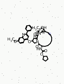 COc1ccc2c(O[C@@H]3C[C@H]4C(=O)N[C@]5(P(C)(=O)O)CC5/C=C\CCCCC[C@H](NC(=O)OC5CCCC5)C(=O)N4C3)cc(-c3ccccc3)nc2c1